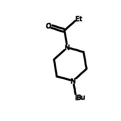 CCC(=O)N1CCN(C(C)CC)CC1